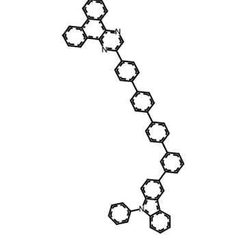 c1ccc(-n2c3ccccc3c3cc(-c4cccc(-c5ccc(-c6ccc(-c7ccc(-c8cnc9c%10ccccc%10c%10ccccc%10c9n8)cc7)cc6)cc5)c4)ccc32)cc1